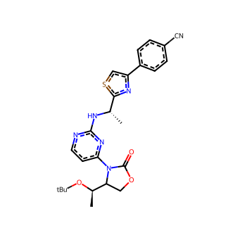 C[C@H](Nc1nccc(N2C(=O)OCC2[C@@H](C)OC(C)(C)C)n1)c1nc(-c2ccc(C#N)cc2)cs1